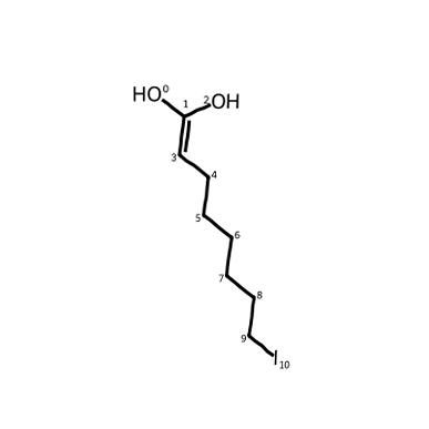 OC(O)=CCCCCCCI